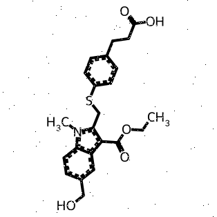 CCOC(=O)c1c(CSc2ccc(CCC(=O)O)cc2)n(C)c2ccc(CO)cc12